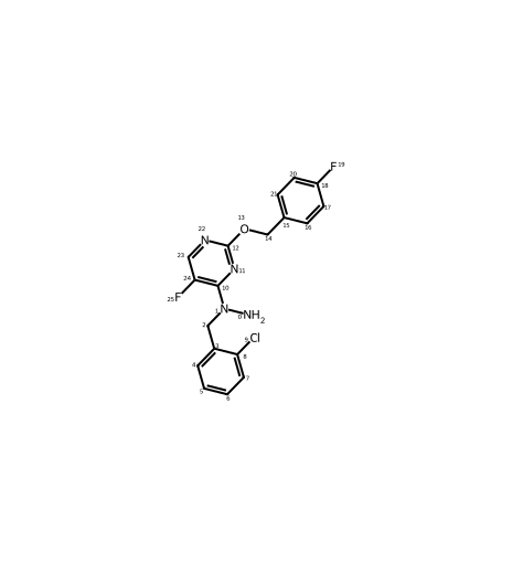 NN(Cc1ccccc1Cl)c1nc(OCc2ccc(F)cc2)ncc1F